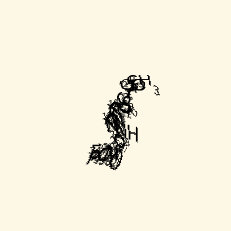 CS(=O)(=O)CCCOc1cccc2c1ccn2-c1ccnc(N[C@H]2CC[C@H](C(=O)N3CCC(F)(F)CC3)CC2)n1